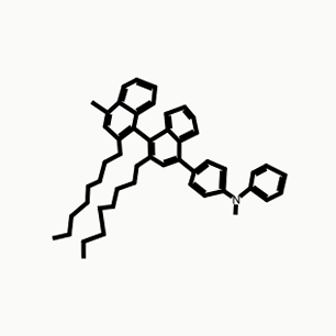 CCCCCCCCc1cc(C)c2ccccc2c1-c1c(CCCCCCCC)cc(-c2ccc(N(C)c3ccccc3)cc2)c2ccccc12